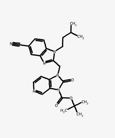 CC(C)CCn1c(Cn2c(=O)n(C(=O)OC(C)(C)C)c3cnccc32)nc2cc(C#N)ccc21